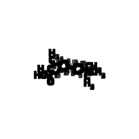 CC(C)c1ccc(-c2ccc(C(C)(C)C)cc2)cc1CCC(=O)O